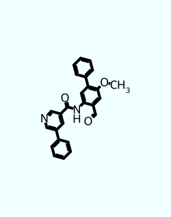 COc1cc(C=O)c(NC(=O)c2cncc(-c3ccccc3)c2)cc1-c1ccccc1